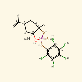 C=C(C)[C@@H]1CCC2(C)S[P@](=S)(Sc3c(F)c(F)c(F)c(F)c3F)O[C@H]2C1